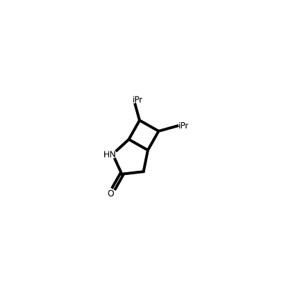 CC(C)C1C2CC(=O)NC2C1C(C)C